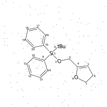 CC(C)(C)[Si](OCC1=CCCO1)(c1ccccc1)c1ccccc1